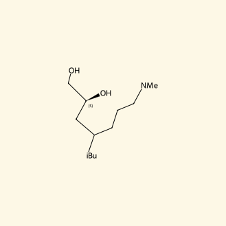 CCC(C)C(CCCNC)C[C@H](O)CO